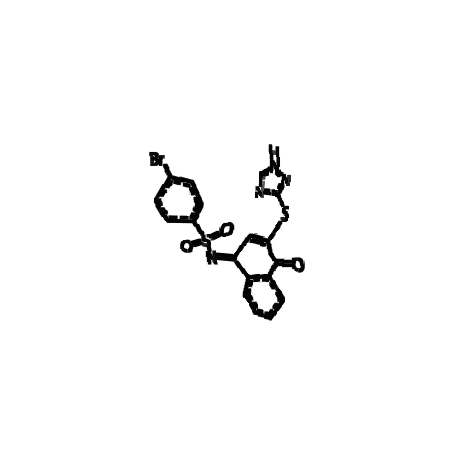 O=C1C(Sc2nc[nH]n2)=C/C(=N\S(=O)(=O)c2ccc(Br)cc2)c2ccccc21